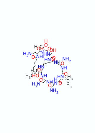 CCCCCCCC(=O)N[C@@H](CCN)C(O)N[C@H](C(=O)N[C@@H](CO)C(=O)N[C@H]1CCNC(=O)[C@H]([C@@H](C)O)NC(=O)[C@H](CCN)NC(=O)[C@H](CCN)NC(=O)[C@H](CC(C)C)NC(=O)CNC(=O)[C@H](CCN)NC1=O)[C@@H](C)O